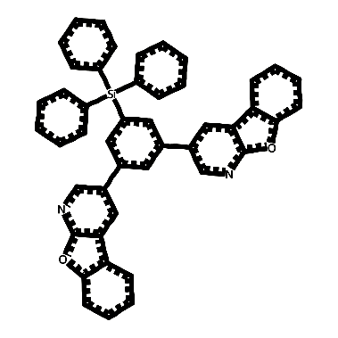 c1ccc([Si](c2ccccc2)(c2ccccc2)c2cc(-c3cnc4oc5ccccc5c4c3)cc(-c3cnc4oc5ccccc5c4c3)c2)cc1